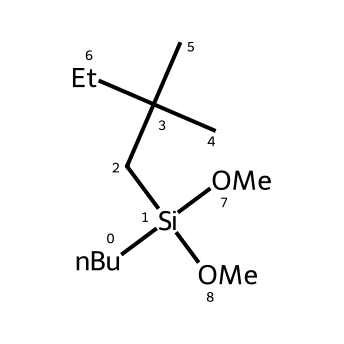 CCCC[Si](CC(C)(C)CC)(OC)OC